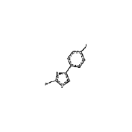 Fc1ccc(-c2csc(Br)n2)cc1